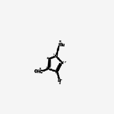 CC(C)(C)n1cc(C=O)c(Br)n1